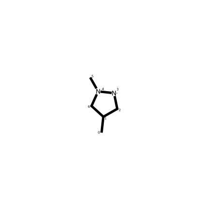 CC1C[N]N(C)C1